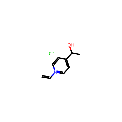 C=C[n+]1ccc(C(C)O)cc1.[Cl-]